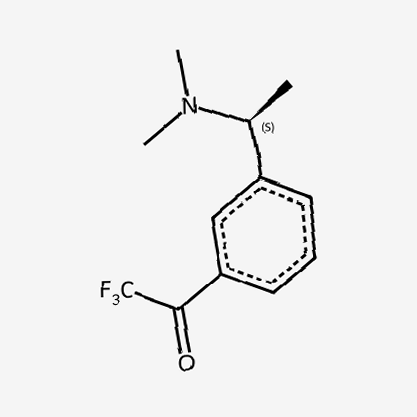 C[C@@H](c1cccc(C(=O)C(F)(F)F)c1)N(C)C